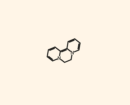 C1=CC2=C3C=CC=CN3CCN2C=C1